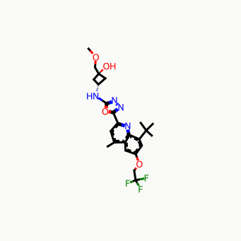 COC[C@]1(O)C[C@H](Nc2nnc(-c3cc(C)c4cc(OCC(F)(F)F)cc(C(C)(C)C)c4n3)o2)C1